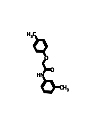 Cc1ccc(OCC(=O)Nc2cccc(C)c2)cc1